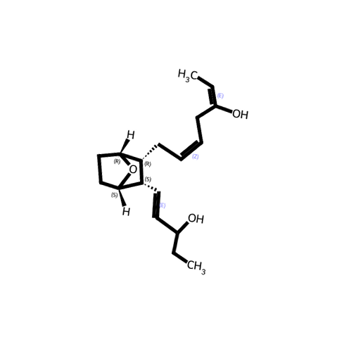 C/C=C(/O)C/C=C\C[C@@H]1[C@H](/C=C/C(O)CC)[C@@H]2CC[C@H]1O2